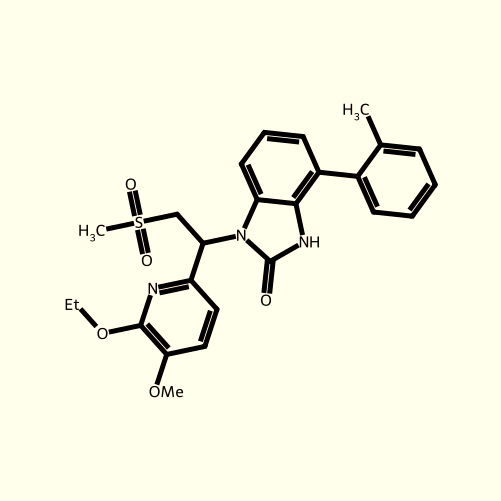 CCOc1nc(C(CS(C)(=O)=O)n2c(=O)[nH]c3c(-c4ccccc4C)cccc32)ccc1OC